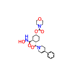 O=C(NO)[C@H]1C[C@H](OC(=O)N2CCOCC2)CC[C@@H]1C(=O)N1CC=C(c2ccccc2)CC1